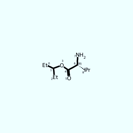 CCC(CC)OC(=O)[C@H](N)C(C)C